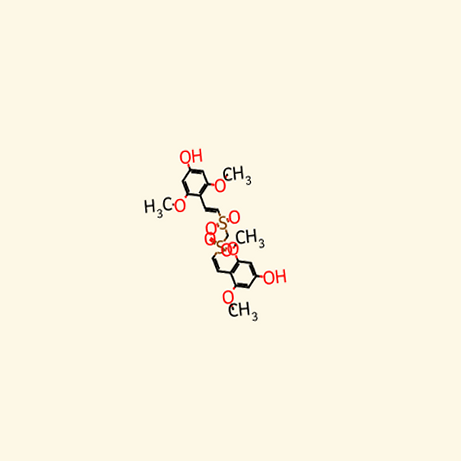 COc1cc(O)cc(OC)c1/C=C\S(=O)(=O)CS(=O)(=O)/C=C/c1c(OC)cc(O)cc1OC